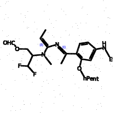 C/C=C(\N=C(/C)c1ccc(NCC)cc1OCCCCC)N(C)C(COC=O)C(F)F